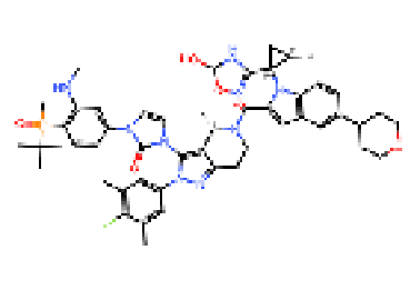 CNc1cc(-n2ccn(-c3c4c(nn3-c3cc(C)c(F)c(C)c3)CCN(C(=O)c3cc5cc(C6CCOCC6)ccc5n3[C@@]3(C5=NOC(O)N5)C[C@@H]3C)[C@H]4C)c2=O)ccc1P(C)(=O)C(C)(C)C